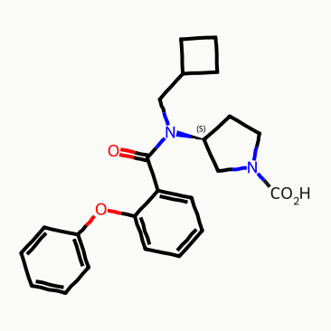 O=C(O)N1CC[C@H](N(CC2CCC2)C(=O)c2ccccc2Oc2ccccc2)C1